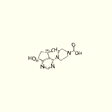 C[C@@H]1C[C@@H](O)c2ncnc(N3CCN(C(=O)O)CC3)c21